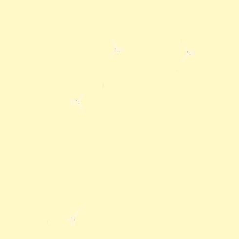 CC1CC(C)(C)NC(C)(C)C1.CC1CC(C)(C)NC(C)(C)C1.O=C(O)NC1CCC(CC2CCC(NC(=O)O)CC2)CC1